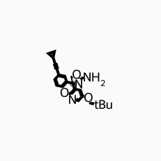 CC(C)(C)COc1cnc2c(c1)[C@]1(COC(N)=N1)c1cc(C#CC3CC3)ccc1O2